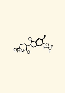 O=C1CCC(N2Cc3cc(OC(F)(F)F)c(F)cc3C2=O)C(=O)N1